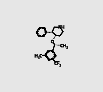 Cc1cc([C@@H](C)O[C@H]2CCNC[C@H]2c2ccccc2)cc(C(F)(F)F)c1